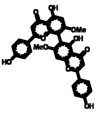 COc1cc2oc(-c3ccc(O)cc3)cc(=O)c2c(O)c1-c1c(OC)cc(O)c2c(=O)cc(-c3ccc(O)cc3)oc12